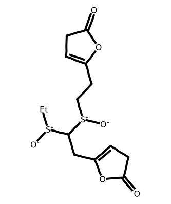 CC[S+]([O-])C(CC1=CCC(=O)O1)[S+]([O-])CCC1=CCC(=O)O1